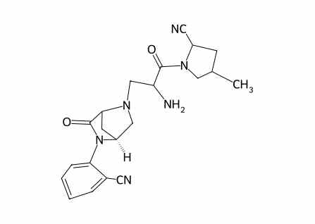 CC1CC(C#N)N(C(=O)C(N)CN2C[C@@H]3CC2C(=O)N3c2ccccc2C#N)C1